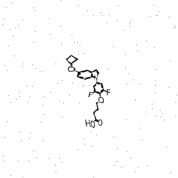 O=C(O)CCCOc1c(F)cc(-n2ccc3cc(OC4CCC4)ccc32)cc1F